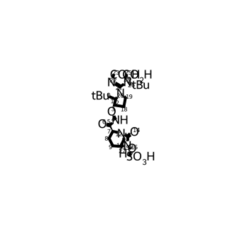 CC(C)(C)C1[C@@H](ONC(=O)[C@@H]2CC[C@@H]3CN2C(=O)N3OS(=O)(=O)O)CCN1C(=NC(=O)O)N(C(=O)O)C(C)(C)C